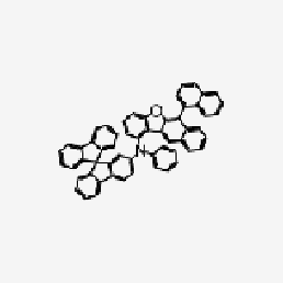 c1ccc(N(c2ccc3c(c2)C2(c4ccccc4-c4ccccc42)c2ccccc2-3)c2cccc3oc4c(-c5cccc6ccccc56)c5ccccc5cc4c23)cc1